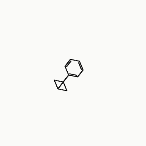 c1ccc(C23CC2C3)cc1